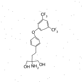 NC(CO)(CO)CCc1ccc(Oc2cc(C(F)(F)F)cc(C(F)(F)F)c2)cc1